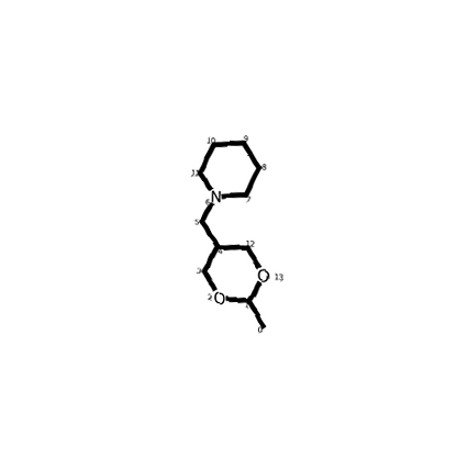 CC1OCC(CN2CCCCC2)CO1